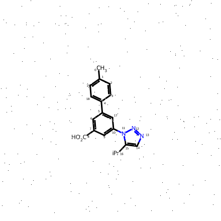 Cc1ccc(-c2cc(C(=O)O)cc(-n3nncc3C(C)C)c2)cc1